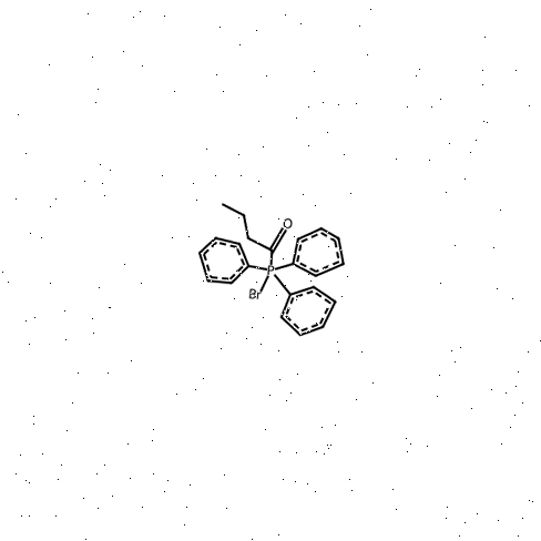 CCCC(=O)P(Br)(c1ccccc1)(c1ccccc1)c1ccccc1